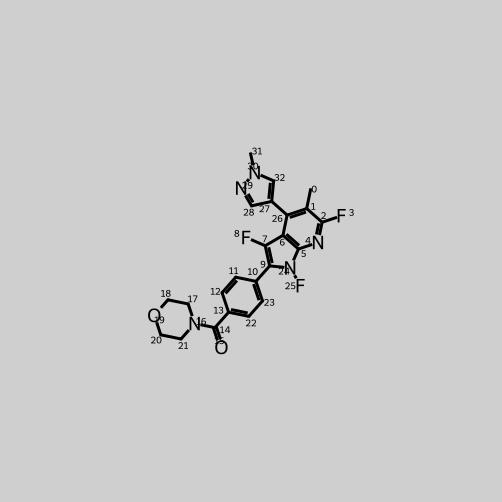 Cc1c(F)nc2c(c(F)c(-c3ccc(C(=O)N4CCOCC4)cc3)n2F)c1-c1cnn(C)c1